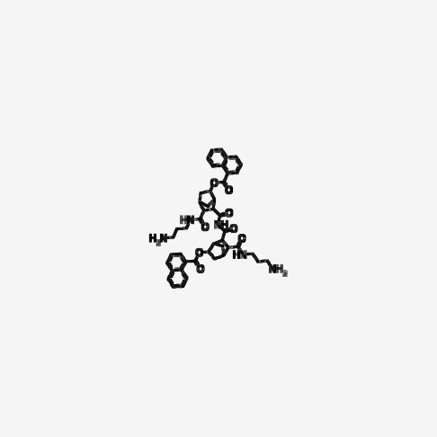 NCCCNC(=O)C1C2CC(OC(=O)c3cccc4ccccc34)C(C2)C1C(=O)NC(=O)C1C2CC(CC2OC(=O)c2cccc3ccccc23)C1C(=O)NCCCN